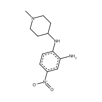 CN1CCC(Nc2ccc([N+](=O)[O-])cc2N)CC1